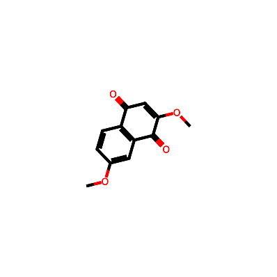 COC1=CC(=O)c2ccc(OC)cc2C1=O